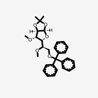 CO[C@@H]1[C@H]2OC(C)(C)O[C@H]2O[C@@H]1[C@@H](COC(c1ccccc1)(c1ccccc1)c1ccccc1)OC